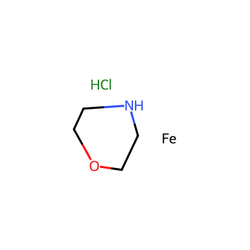 C1COCCN1.Cl.[Fe]